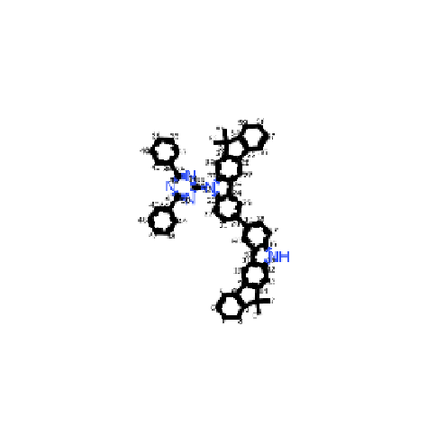 CC1(C)C2=C(C=CCC2)c2cc3c(cc21)[nH]c1ccc(-c2ccc4c(c2)c2cc5c(cc2n4-c2nc(-c4ccccc4)nc(-c4ccccc4)n2)C(C)(C)C2=C5C=CCC2)cc13